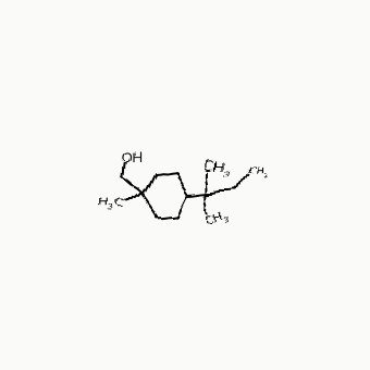 CCC(C)(C)C1CCC(C)(CO)CC1